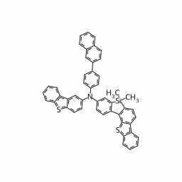 C[Si]1(C)c2cc(N(c3ccc(-c4ccc5ccccc5c4)cc3)c3ccc4sc5ccccc5c4c3)ccc2-c2c1ccc1c2sc2ccccc21